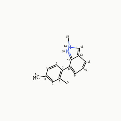 Cc1cc(C#N)ccc1-c1cccc2cn(C)nc12